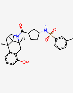 Cc1cccc(S(=O)(=O)N[C@@H]2CC[C@@H](C(=O)N3CC[C@@]4(C)c5cccc(O)c5C[C@@H]3C4(C)C)C2)c1